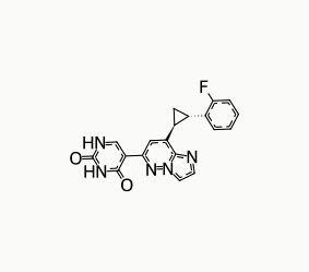 O=c1[nH]cc(-c2cc([C@H]3C[C@@H]3c3ccccc3F)c3nccn3n2)c(=O)[nH]1